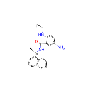 CC(C)CNc1ccc(N)cc1C(=O)N[C@H](C)c1cccc2ccccc12